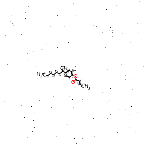 C/C=C/C(=O)Oc1ccc(C(C)CCCCCC)cc1